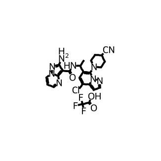 CC(NC(=O)c1c(N)nn2cccnc12)c1cc(Cl)c2ccnn2c1N1CCC(C#N)CC1.O=C(O)C(F)(F)F